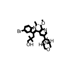 CCn1c(-c2cc(C3C[C@H]4COC[C@@H](C3)N4)cnc2[C@H](C)OC)c(CC(C)(C)CO)c2cc(Br)ccc21